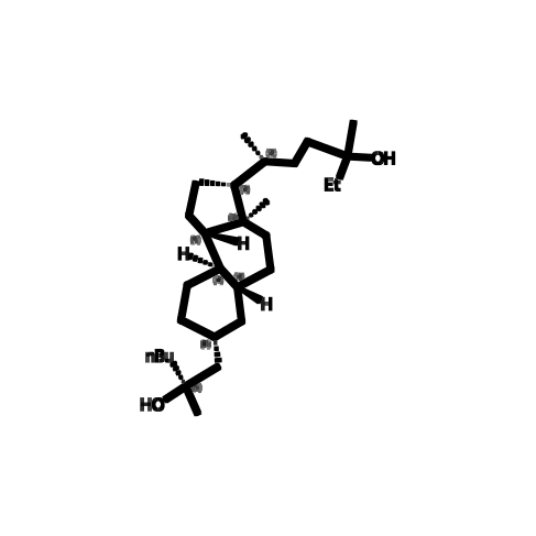 CCCC[C@](C)(O)C[C@@H]1CC[C@@H]2[C@H](CC[C@]3(C)[C@@H]([C@H](C)CCC(C)(O)CC)CC[C@@H]23)C1